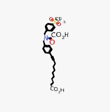 O=C(O)CCCCCCCCC#Cc1ccc(CN(Cc2ccc(S(=O)(=O)C(F)(F)F)cc2)C(=O)C(=O)O)cc1